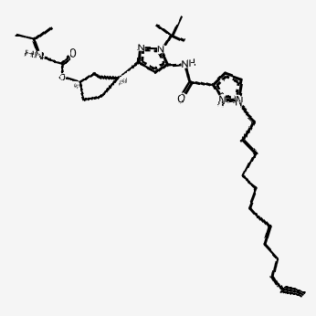 C#CCCCCCCCCCCn1ccc(C(=O)Nc2cc([C@H]3CC[C@@H](OC(=O)NC(C)C)C3)nn2C(C)(C)C)n1